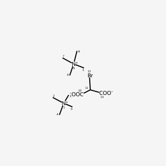 C[N+](C)(C)C.C[N+](C)(C)C.O=C([O-])C(Br)C(=O)[O-]